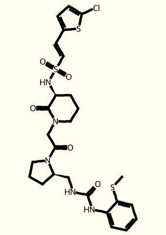 CSc1ccccc1NC(=O)NC[C@H]1CCCN1C(=O)CN1CCC[C@H](NS(=O)(=O)/C=C/c2ccc(Cl)s2)C1=O